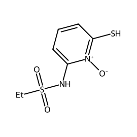 CCS(=O)(=O)Nc1cccc(S)[n+]1[O-]